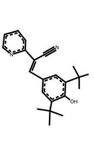 CC(C)(C)c1cc(C=C(C#N)c2ccccn2)cc(C(C)(C)C)c1O